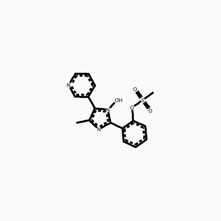 Cc1nc(-c2ccccc2OS(C)(=O)=O)n(O)c1-c1cccnc1